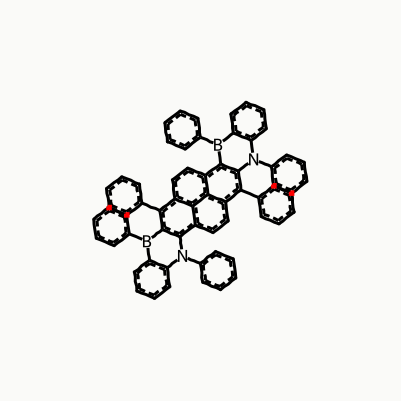 c1ccc(B2c3ccccc3N(c3ccccc3)c3c2c(-c2ccccc2)c2ccc4c5c(c(-c6ccccc6)c6ccc3c2c46)N(c2ccccc2)c2ccccc2B5c2ccccc2)cc1